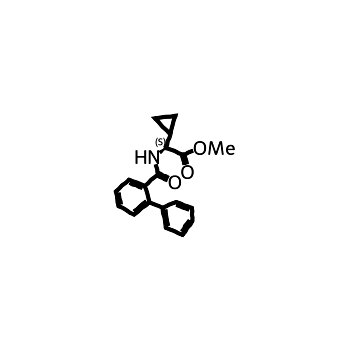 COC(=O)[C@@H](NC(=O)c1ccccc1-c1ccccc1)C1CC1